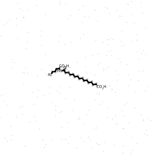 CC(=O)CCC[C@H](NC(=O)CCCCCCCCCCCCCCC(=O)O)C(=O)O